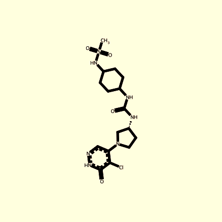 CS(=O)(=O)NC1CCC(NC(=O)N[C@@H]2CCN(c3cn[nH]c(=O)c3Cl)C2)CC1